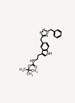 CC(C)(C)OC(=O)NCCc1c[nH]c2ccc(Cc3nnn(Cc4ccccc4)n3)cc12